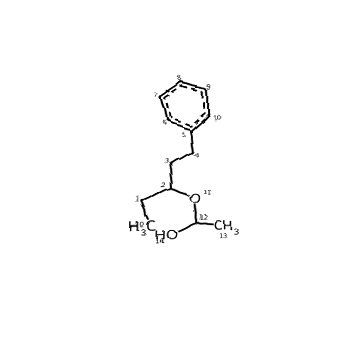 CCC(CCc1ccccc1)OC(C)O